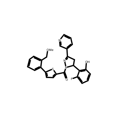 COCc1ccccc1-c1ccc(C(=O)N2N=C(c3cccnc3)CC2c2c(O)cccc2F)s1